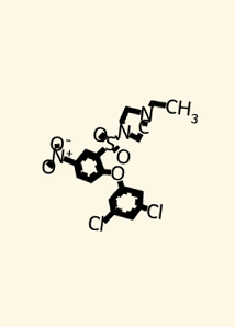 CCN1CCN(S(=O)(=O)c2cc([N+](=O)[O-])ccc2Oc2cc(Cl)cc(Cl)c2)CC1